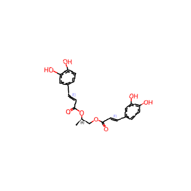 C[C@H](COC(=O)/C=C/c1ccc(O)c(O)c1)OC(=O)/C=C/c1ccc(O)c(O)c1